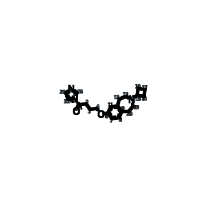 O=C(CCCOc1ccc2c(c1)CCN(C1CCC1)CC2)n1ccnc1